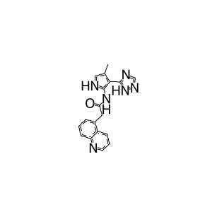 Cc1c[nH]c(NC(=O)Cc2cccc3ncccc23)c1-c1ncn[nH]1